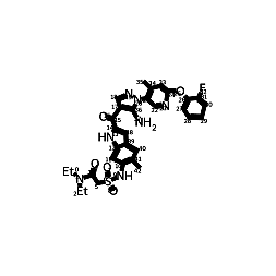 CCN(CC)C(=O)CS(=O)(=O)Nc1cc2[nH]c(C(=O)c3cnn(-c4cnc(Oc5ccccc5F)cc4C)c3N)cc2cc1C